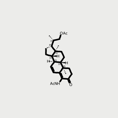 CC(=O)NC1=C2C=C[C@H]3[C@@H]4CC[C@H]([C@H](C)COC(C)=O)[C@@]4(C)CC[C@@H]3[C@@]2(C)CCC1=O